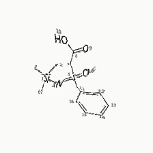 C[Si](C)(C)N=S(=O)(CC(=O)O)c1ccccc1